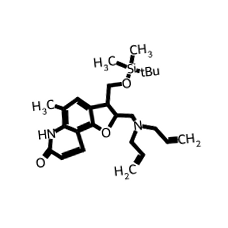 C=CCN(CC=C)CC1Oc2c(cc(C)c3[nH]c(=O)ccc23)C1CO[Si](C)(C)C(C)(C)C